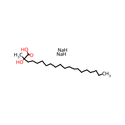 CCCCCCCCCCCCCCCCCCC(C)(O)C(=O)O.[NaH].[NaH]